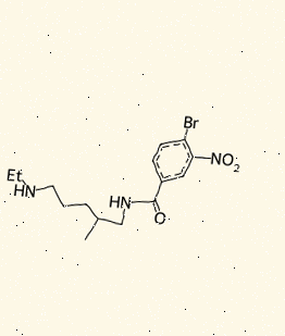 CCNCCCC(C)CNC(=O)c1ccc(Br)c([N+](=O)[O-])c1